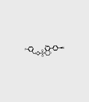 N#Cc1ccc(-c2cncc3c2OCCN3S(=O)(=O)C2CN(Cc3cccc(F)c3)C2)cc1